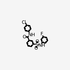 O=C(Nc1ccc(Cl)cc1)c1cccc(S(=O)(=O)Nc2cccc(F)c2)c1